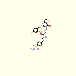 NS(=O)(=O)c1ccc(CCNC(=O)CCCn2c(SCc3ccc(F)cc3Cl)nc3ccsc3c2=O)cc1